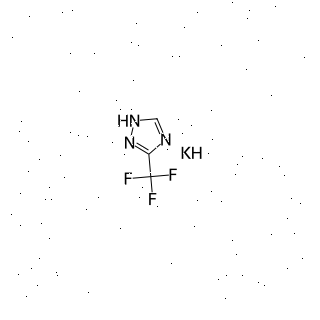 FC(F)(F)c1nc[nH]n1.[KH]